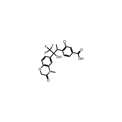 CC(c1ccc(C(=O)O)cc1Cl)C(O)(c1ccc2c(c1)N(C)C(=O)CO2)C(F)(F)F